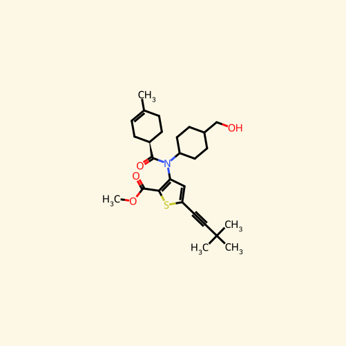 COC(=O)c1sc(C#CC(C)(C)C)cc1N(C(=O)[C@H]1CC=C(C)CC1)C1CCC(CO)CC1